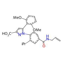 C=CCNC(=O)c1ccc(-n2nc(C(=O)O)cc2-c2c(OC)cccc2OC)c(C(C)C)c1